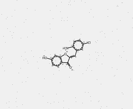 Nc1ccc(Cl)cc1/C=C1\Oc2cc(O)ccc2C1=O